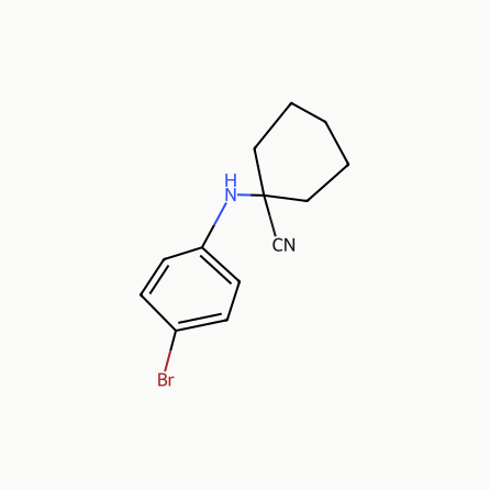 N#CC1(Nc2ccc(Br)cc2)CCCCC1